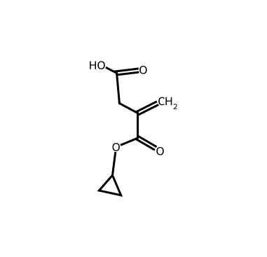 C=C(CC(=O)O)C(=O)OC1CC1